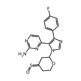 Nc1nccc(-c2c(-c3ccc(F)cc3)ncn2C2CC(=S=O)CCO2)n1